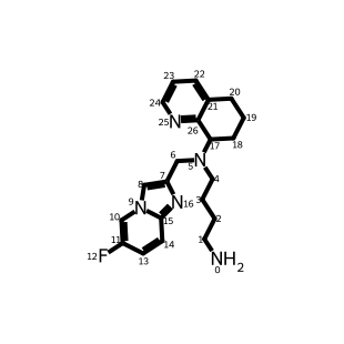 NCCCCN(Cc1cn2cc(F)ccc2n1)C1CCCc2cccnc21